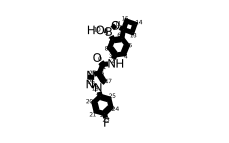 O=C(Nc1ccc2c(c1)B(O)OC21CCC1)c1cn(-c2ccc(F)cc2)nn1